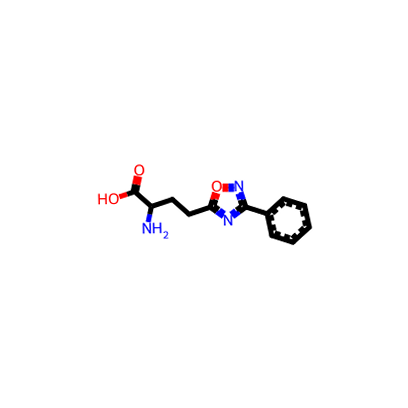 NC(CCc1nc(-c2ccccc2)no1)C(=O)O